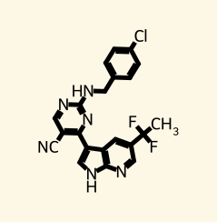 CC(F)(F)c1cnc2[nH]cc(-c3nc(NCc4ccc(Cl)cc4)ncc3C#N)c2c1